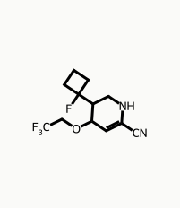 N#CC1=CC(OCC(F)(F)F)C(C2(F)CCC2)CN1